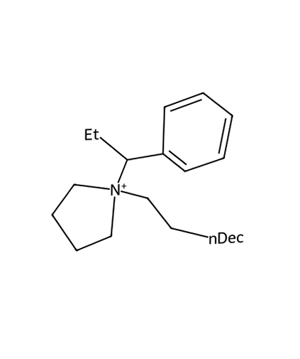 CCCCCCCCCCCC[N+]1(C(CC)c2ccccc2)CCCC1